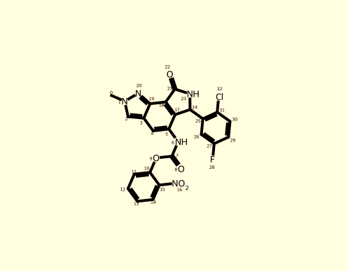 Cn1cc2cc(NC(=O)Oc3ccccc3[N+](=O)[O-])c3c(c2n1)C(=O)NC3c1cc(F)ccc1Cl